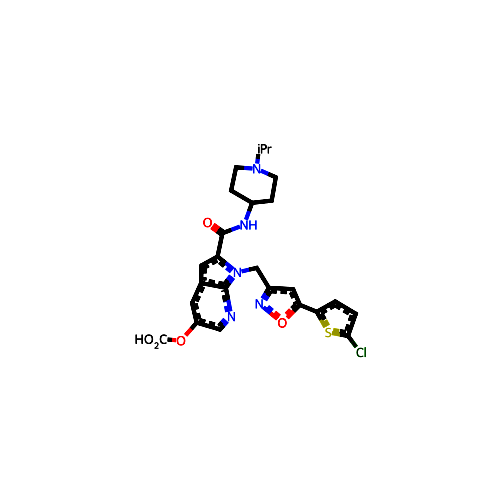 CC(C)N1CCC(NC(=O)c2cc3cc(OC(=O)O)cnc3n2Cc2cc(-c3ccc(Cl)s3)on2)CC1